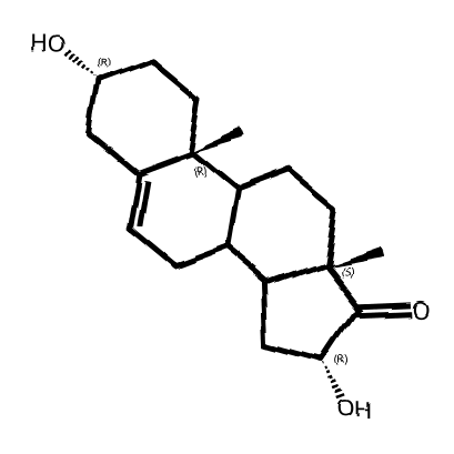 C[C@]12CC[C@@H](O)CC1=CCC1C2CC[C@]2(C)C(=O)[C@H](O)CC12